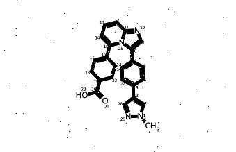 Cn1cc(-c2ccc(-c3cnc4cccc(C5=CCC(C(=O)O)CC5)n34)cc2)cn1